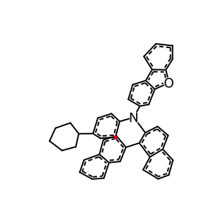 c1ccc2cc(-c3c(N(c4ccc(C5CCCCC5)cc4)c4ccc5c(c4)oc4ccccc45)ccc4ccccc34)ccc2c1